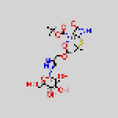 CC(C)(C)OC(=O)N[C@@H]1C(=O)N[C@@H]1SC(C)(C)CC(=O)OCc1cn([C@@H]2O[C@H](CO)[C@@H](O)[C@H](O)[C@H]2O)nn1